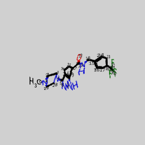 CN1CCN(c2n[nH]c3cc(C(=O)NCc4ccc(C(F)(F)F)cc4)ccc23)CC1